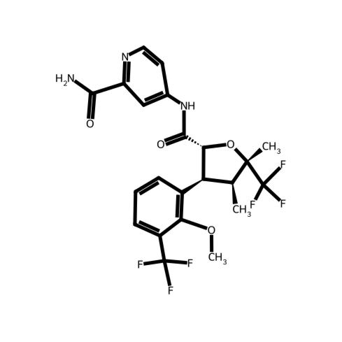 COc1c([C@H]2[C@H](C(=O)Nc3ccnc(C(N)=O)c3)O[C@](C)(C(F)(F)F)[C@H]2C)cccc1C(F)(F)F